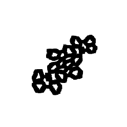 c1ccc(-c2ccccc2N(c2ccccc2)c2ccc3c(c2)C2=C(c4cc(N(c5ccccc5)c5ccccc5-c5ccccc5)ccc4C24c2ccccc2-c2ccccc24)C32c3ccccc3-c3ccccc32)cc1